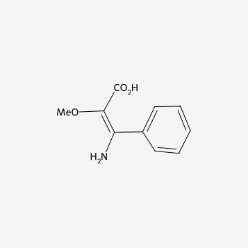 COC(C(=O)O)=C(N)c1ccccc1